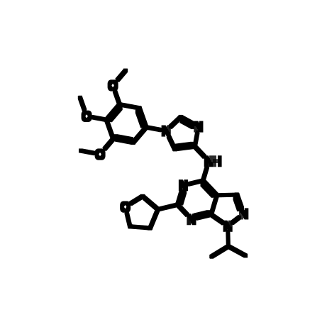 COc1cc(-n2cnc(Nc3nc(C4CCOC4)nc4c3cnn4C(C)C)c2)cc(OC)c1OC